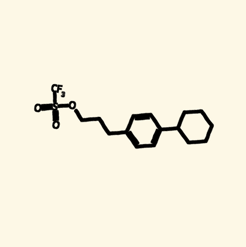 O=S(=O)(OCCCc1ccc(C2CCCCC2)cc1)C(F)(F)F